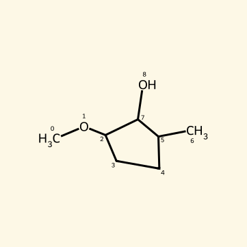 COC1CCC(C)C1O